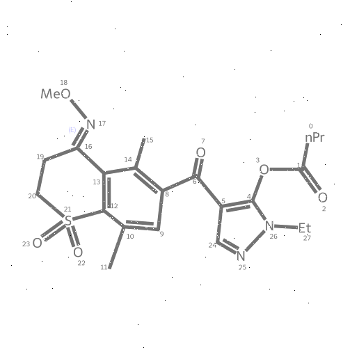 CCCC(=O)Oc1c(C(=O)c2cc(C)c3c(c2C)/C(=N/OC)CCS3(=O)=O)cnn1CC